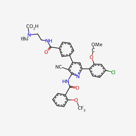 COCOc1cc(Cl)ccc1-c1cc(-c2cccc(C(=O)NCCN(C(=O)O)C(C)(C)C)c2)c(C#N)c(NC(=O)c2ccccc2OC(F)(F)F)n1